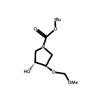 COCO[C@@H]1CN(C(=O)OC(C)(C)C)C[C@H]1O